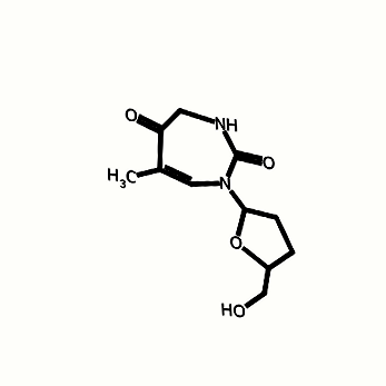 CC1=CN(C2CCC(CO)O2)C(=O)NCC1=O